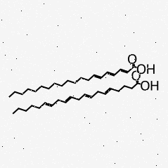 CCCCC/C=C/C/C=C/C/C=C/C/C=C/CCCC(=O)O.CCCCCCCCCCCCC/C=C/C=C/C=C/C(=O)O